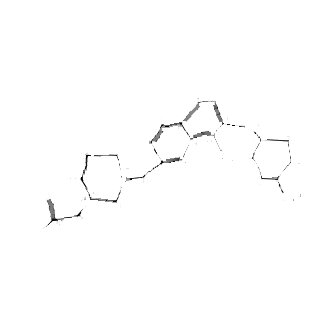 CC1CCC(Oc2ccc3ccc(CN4CCC[C@H](CC(=O)O)C4)cc3c2Cl)CC1